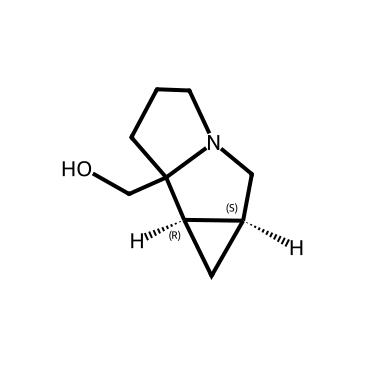 OCC12CCCN1C[C@H]1C[C@H]12